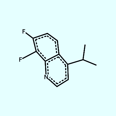 CC(C)c1ccnc2c(F)c(F)ccc12